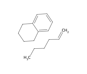 C=CCCCC.c1ccc2c(c1)CCCC2